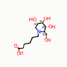 O=C(O)CCCCCN1C[C@H](O)[C@@H](O)[C@H](O)[C@H]1CO